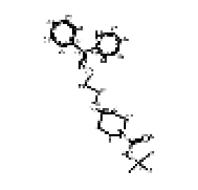 CC(C)(C)OC(=O)N1CCC(OCCON=C(c2ccccc2)c2ccccn2)CC1